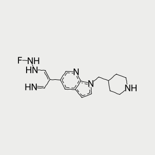 N=C/C(=C\NNF)c1cnc2c(ccn2CC2CCNCC2)c1